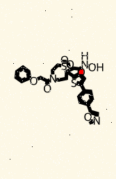 O=C(CC1(c2ccc(-c3ccc(-c4cnco4)cc3)s2)CCN(C(=O)COc2ccccc2)CCS1(=O)=O)NO